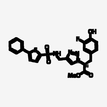 COC(=O)[C@H](Cc1ccc(O)c(F)c1)n1cc(CNS(=O)(=O)c2ccc(-c3ccccc3)s2)nn1